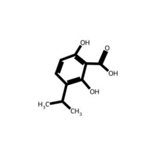 CC(C)c1ccc(O)c(C(=O)O)c1O